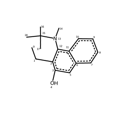 CCc1c(O)cc2ccccc2c1N(C)C(C)(C)C